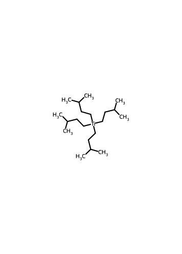 CC(C)C[CH2][Ti]([CH2]CC(C)C)([CH2]CC(C)C)[CH2]CC(C)C